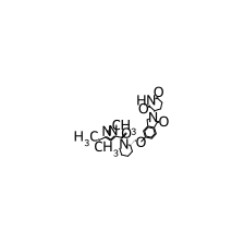 CC(C)c1cc(C(=O)N2CCCC[C@H]2COc2ccc3c(c2)CN(C2CCC(=O)NC2=O)C3=O)n(C)n1